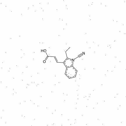 CCc1c(C=CC(=O)O)c2ccccc2n1C#N